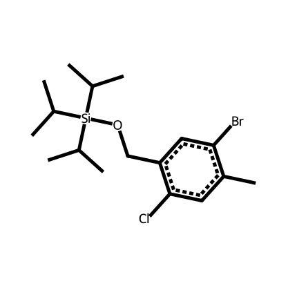 Cc1cc(Cl)c(CO[Si](C(C)C)(C(C)C)C(C)C)cc1Br